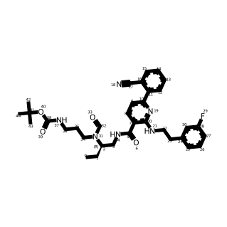 CC[C@H](CNC(=O)c1ccc(-c2ccccc2C#N)nc1NCCc1cccc(F)c1)N(C=O)CCCNC(=O)OC(C)(C)C